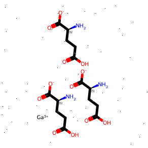 N[C@@H](CCC(=O)O)C(=O)[O-].N[C@@H](CCC(=O)O)C(=O)[O-].N[C@@H](CCC(=O)O)C(=O)[O-].[Ga+3]